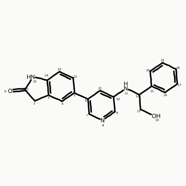 O=C1Cc2cc(-c3cncc(NC(CO)c4ccccc4)c3)ccc2N1